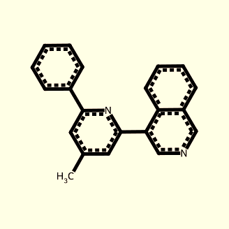 Cc1cc(-c2ccccc2)nc(-c2cncc3ccccc23)c1